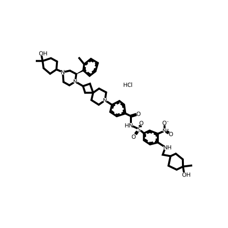 Cc1ccccc1[C@@H]1CN(C2CCC(C)(O)CC2)CCN1C1CC2(CCN(c3ccc(C(=O)NS(=O)(=O)c4ccc(NCC5CCC(C)(O)CC5)c([N+](=O)[O-])c4)cc3)CC2)C1.Cl